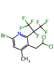 Cc1[c]c(Br)nc(C(F)(C(F)(F)F)C(F)(F)F)c1CC(Cl)Cl